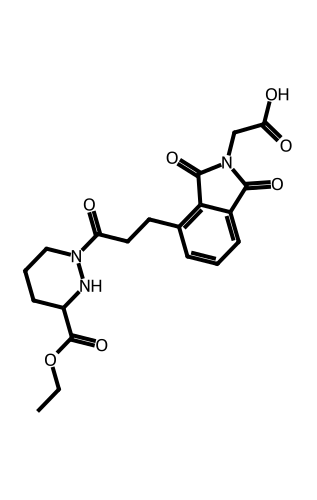 CCOC(=O)C1CCCN(C(=O)CCc2cccc3c2C(=O)N(CC(=O)O)C3=O)N1